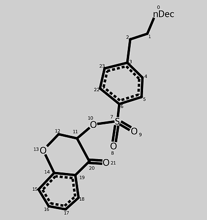 CCCCCCCCCCCCc1ccc(S(=O)(=O)OC2COc3ccccc3C2=O)cc1